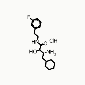 Cl.N[C@H](CC1CCCCC1)C(O)C(=O)NCCc1cccc(F)c1